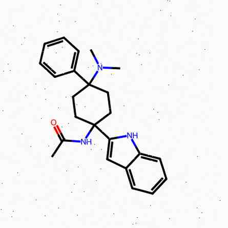 CC(=O)NC1(c2cc3ccccc3[nH]2)CCC(c2ccccc2)(N(C)C)CC1